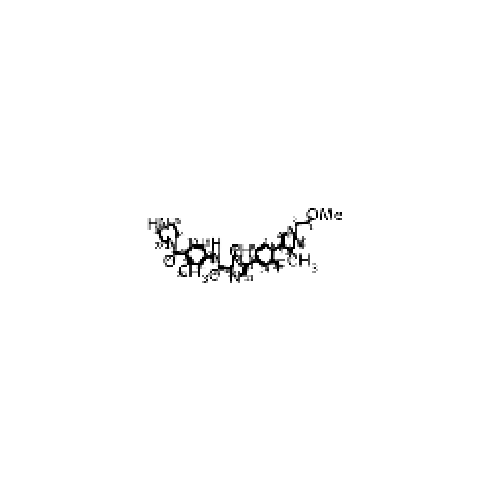 COCCn1cc(-c2ccc(-c3cnc(C(=O)Nc4ccc(C(=O)N5CCNCC5)c(C)c4)n3C)cc2F)c(C)n1